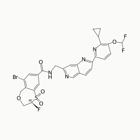 O=C(NCc1cc2nc(-c3ccc(OC(F)F)c(C4CC4)n3)ccc2cn1)c1cc(Br)c2c(c1)S(=O)(=O)[C@@H](F)COC2